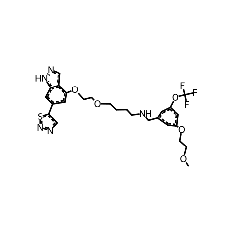 COCCOc1cc(CNCCCCOCCOc2cc(-c3cnns3)cc3[nH]ncc23)cc(OC(F)(F)F)c1